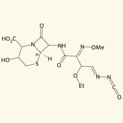 CCOC(C=NN=C=O)C(=NOC)C(=O)NC1C(=O)N2C(C(=O)O)C(O)CS[C@H]12